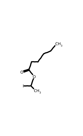 CCCCCC(=O)OC(C)I